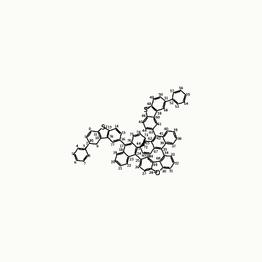 C1=C[C@H](c2ccccc2)Cc2c1sc1ccc(-c3c4ccccc4c(-c4ccc5oc6cccc(-c7c8ccccc8c(-c8ccc9sc%10ccc(-c%11ccccc%11)cc%10c9c8)c8ccccc78)c6c5c4)c4ccccc34)cc21